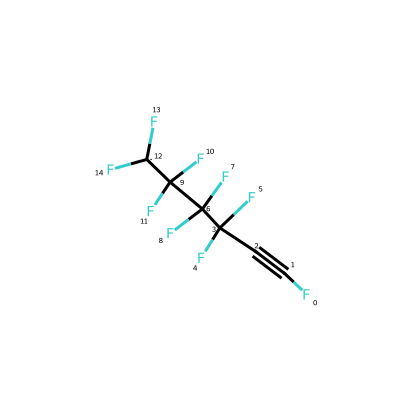 FC#CC(F)(F)C(F)(F)C(F)(F)[C](F)F